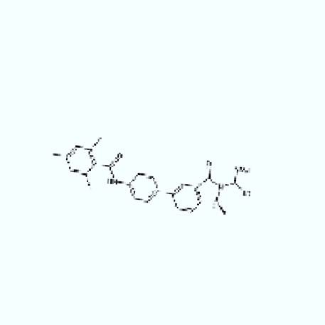 CCC(C(=O)O)N1C(=O)c2cc(-c3ccc(NC(=O)c4c(C)cc(C)cc4C)cc3)ccc2[C@@H]1C